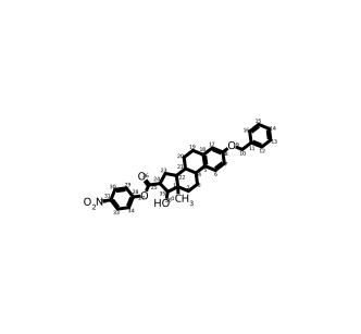 CC12CCC3c4ccc(OCc5ccccc5)cc4CCC3C1CC(C(=O)Oc1ccc([N+](=O)[O-])cc1)C2O